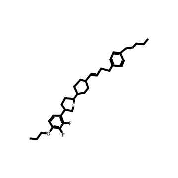 CCCCCc1ccc(CC/C=C/C2CCC(C3CCC(c4ccc(OCCC)c(F)c4F)CC3)CC2)cc1